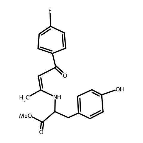 COC(=O)C(Cc1ccc(O)cc1)N/C(C)=C\C(=O)c1ccc(F)cc1